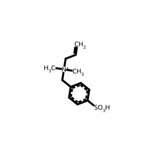 C=CC[N+](C)(C)Cc1ccc(S(=O)(=O)O)cc1